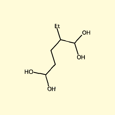 CCC(CCC(O)O)C(O)O